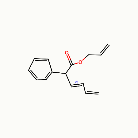 C=C/C=C/C(C(=O)OCC=C)c1ccccc1